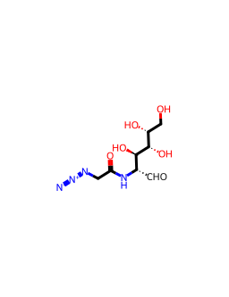 [N-]=[N+]=NCC(=O)N[C@@H](C=O)[C@@H](O)[C@@H](O)[C@H](O)CO